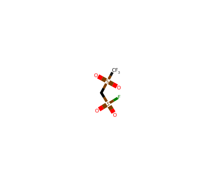 O=S(=O)(F)CS(=O)(=O)C(F)(F)F